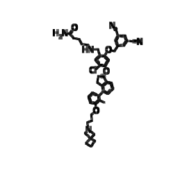 Cc1c(OCCCN2CC3(CCC3)C2)cccc1-c1cccc2c1CC[C@@H]2Oc1cc(OCc2cc(C#N)cc(C#N)c2)c(CNCCCCC(N)=O)cc1Cl